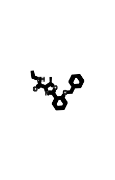 CCNC(=O)C1N=C(c2ccccc2OCc2ccccc2)O[C@@H]1C